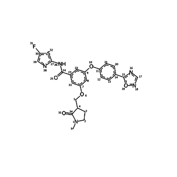 CN1CCC(COc2cc(Oc3ccc(-c4ncno4)cc3)cc(C(=O)Nc3ncc(F)s3)c2)C1=O